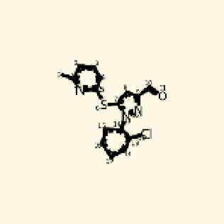 Cc1cccc(Sc2cc(C=O)nn2-c2ccccc2Cl)n1